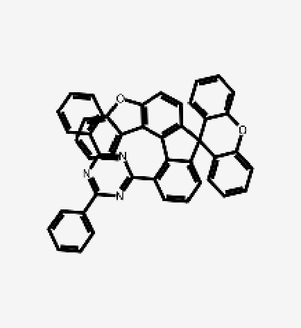 c1ccc(-c2nc(-c3ccccc3)nc(-c3cccc4c3-c3c(ccc5oc6ccccc6c35)C43c4ccccc4Oc4ccccc43)n2)cc1